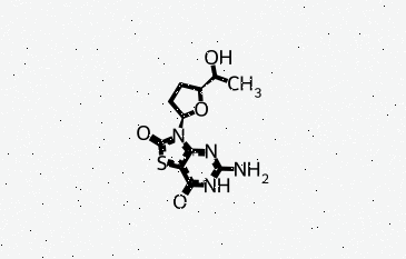 CC(O)[C@@H]1CC[C@H](n2c(=O)sc3c(=O)[nH]c(N)nc32)O1